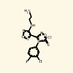 Cl.NCCNc1nonc1-c1noc(=O)n1-c1ccc(F)c(Cl)c1